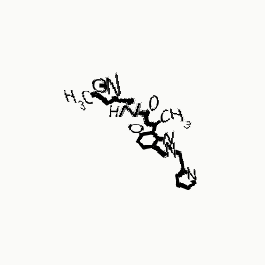 Cc1cc(CNC(=O)c2oc3c(c2C)-c2nn(Cc4ccccn4)cc2CC3)no1